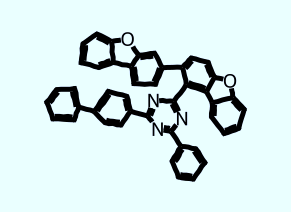 c1ccc(-c2ccc(-c3nc(-c4ccccc4)nc(-c4c(-c5ccc6c(c5)oc5ccccc56)ccc5oc6ccccc6c45)n3)cc2)cc1